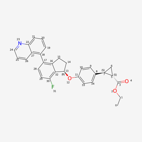 CCOC(=O)[C@H]1C[C@@H]1c1ccc(O[C@@H]2CCc3c(-c4cccc5ncccc45)ccc(F)c32)cc1